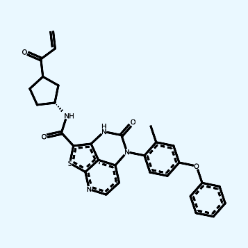 C=CC(=O)C1CC[C@@H](NC(=O)c2sc3nccc4c3c2NC(=O)N4c2ccc(Oc3ccccc3)cc2C)C1